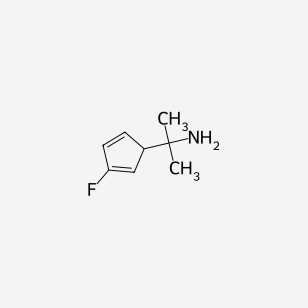 CC(C)(N)C1C=CC(F)=C1